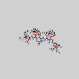 CC(C)(C)OC(=O)CCC(NC(=O)CCC(NC=O)C(=O)NC(CCC(=O)OC(C)(C)C)C(=O)OC(C)(C)C)C(=O)OC(C)(C)C